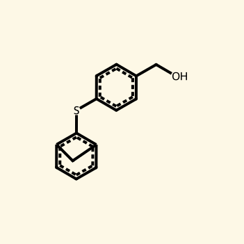 OCc1ccc(Sc2c3cccc2C3)cc1